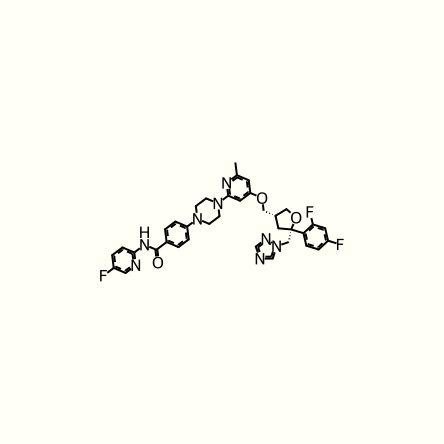 Cc1cc(OC[C@@H]2CO[C@@](Cn3cncn3)(c3ccc(F)cc3F)C2)cc(N2CCN(c3ccc(C(=O)Nc4ccc(F)cn4)cc3)CC2)n1